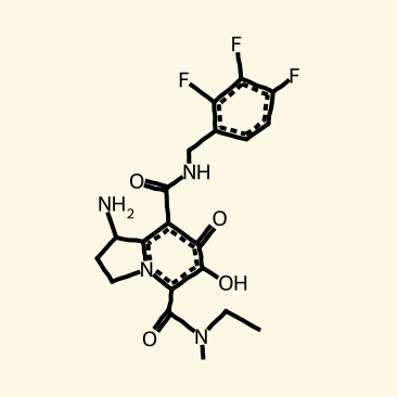 CCN(C)C(=O)c1c(O)c(=O)c(C(=O)NCc2ccc(F)c(F)c2F)c2n1CCC2N